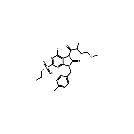 CCC[S@](=N)(=O)c1nc(N)c2c(n1)n(Cc1ccc(C)cc1)c(=O)n2C(=O)N(C)CCOC